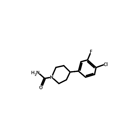 NC(=O)N1CCC(c2ccc(Cl)c(F)c2)CC1